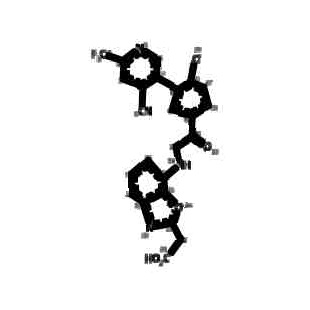 N#Cc1cc(C(F)(F)F)ncc1-c1cc(C(=O)CNc2cccc3nc(CC(=O)O)oc23)ccc1Cl